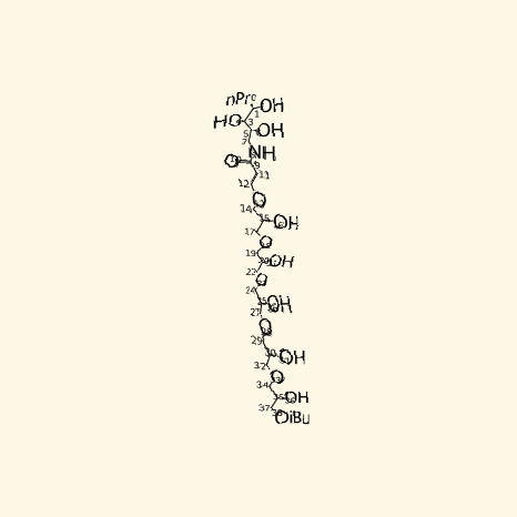 CCC[C@@H](O)[C@H](O)[C@@H](O)CNC(=O)CCOCC(O)COCC(O)COCC(O)COCC(O)COCC(O)COCC(C)C